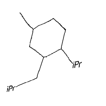 CC(C)C[C]1CC(C)CCC1C(C)C